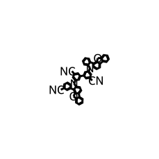 N#Cc1cc(-c2cc(C#N)cc(-n3c4ccc(C#N)cc4c4c5oc6ccccc6c5ccc43)c2)cc(-n2c3ccccc3c3c4oc5ccccc5c4ccc32)c1